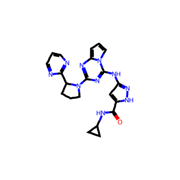 O=C(NC1CC1)c1cc(Nc2nc(N3CCCC3c3ncccn3)nc3cccn23)n[nH]1